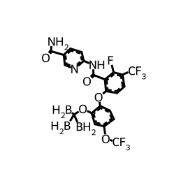 BC(B)(B)Oc1cc(OC(F)(F)F)ccc1Oc1ccc(C(F)(F)F)c(F)c1C(=O)Nc1ccc(C(N)=O)cn1